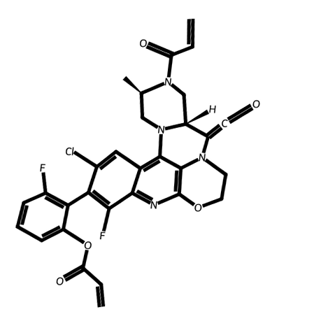 C=CC(=O)Oc1cccc(F)c1-c1c(Cl)cc2c3c4c(nc2c1F)OCCN4C(=C=O)[C@H]1CN(C(=O)C=C)[C@H](C)CN31